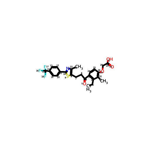 CCc1c(C(=O)CCc2sc(-c3ccc(C(F)(F)F)cc3)nc2C)ccc(OCC(=O)O)c1C